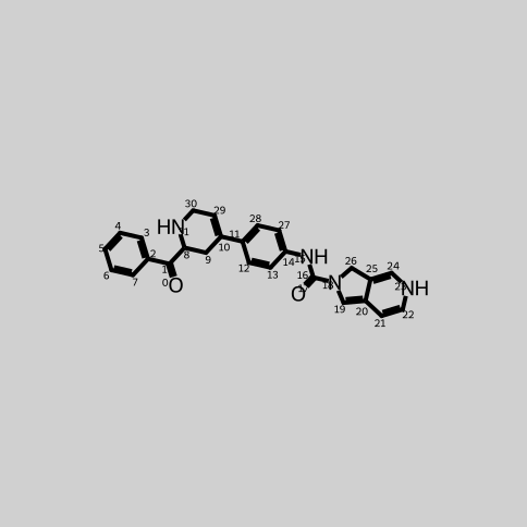 O=C(c1ccccc1)C1CC(c2ccc(NC(=O)N3C=C4C=CNC=C4C3)cc2)=CCN1